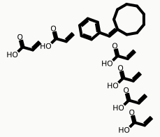 C(=C1CCCCCCCC1)c1ccccc1.C=CC(=O)O.C=CC(=O)O.C=CC(=O)O.C=CC(=O)O.C=CC(=O)O.C=CC(=O)O